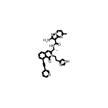 Cc1ccn2nc(N)c(C(=O)N[C@H](C)c3cc4cccc(C#Cc5cccnc5)c4c(=O)n3CCc3c[nH]cn3)c2n1